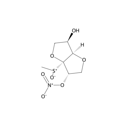 C[S+]([O-])[C@]12OC[C@@H](O)[C@H]1OC[C@@H]2O[N+](=O)[O-]